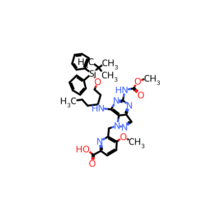 CCCC(CCO[Si](c1ccccc1)(c1ccccc1)C(C)(C)C)Nc1nc(NC(=O)OC)nc2cnn(Cc3nc(C(=O)O)ccc3OC)c12